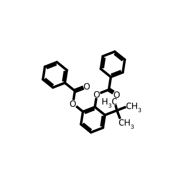 CC(C)(C)c1cccc(OC(=O)c2ccccc2)c1OC(=O)c1ccccc1